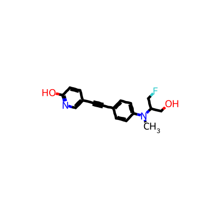 CN(c1ccc(C#Cc2ccc(O)nc2)cc1)C(CO)CF